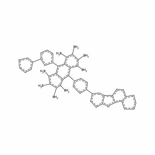 Bc1c(B)c(B)c2c(-c3cccc(-c4ccccc4)c3)c3c(B)c(B)c(B)c(B)c3c(-c3ccc(-c4ccc5oc6c7ccccc7ccc6c5c4)cc3)c2c1B